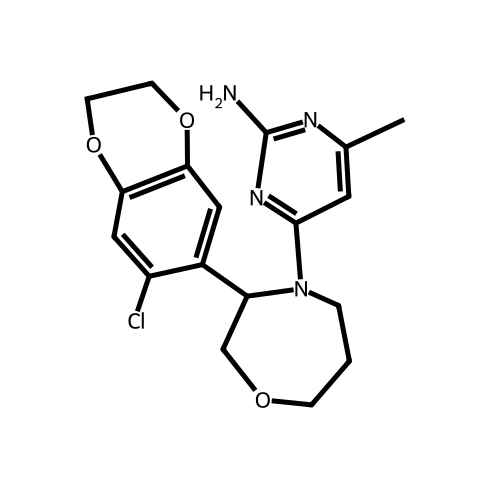 Cc1cc(N2CCCOCC2c2cc3c(cc2Cl)OCCO3)nc(N)n1